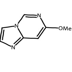 COc1cc2n[c]cn2cn1